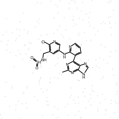 Cc1nc(-c2cccnc2Nc2cnc(Cl)c(CN[SH](=O)=O)c2)c2nc[nH]c2n1